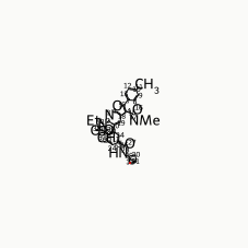 CCN(c1nc2oc(-c3ccc(C)cc3)c(C(=O)NC)c2cc1-c1cccc(C(=O)NC23CC(C2)C3)c1)S(C)(=O)=O